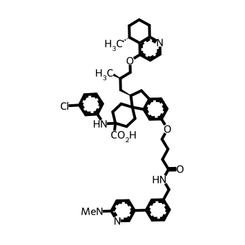 CNc1ccc(-c2cccc(CNC(=O)CCCOc3ccc4c(c3)C3(CCC(Nc5cccc(Cl)c5)(C(=O)O)CC3)[C@@H](C[C@@H](C)COc3ccnc5c3[C@H](C)CCC5)C4)c2)cn1